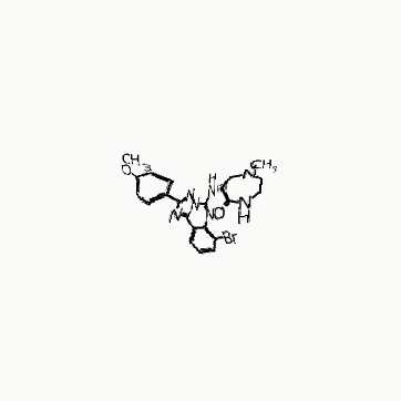 COc1ccc(-c2nc3c4cccc(Br)c4nc(N[C@@H]4CN(C)CCNC4=O)n3n2)cc1